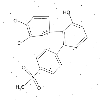 CS(=O)(=O)c1ccc(-c2[c]ccc(O)c2-c2ccc(Cl)c(Cl)c2)cc1